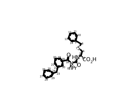 CCCN(C(=O)N[C@@H](CSCc1ccccc1)C(=O)O)C(=O)c1cccc(Cc2ccccc2)c1